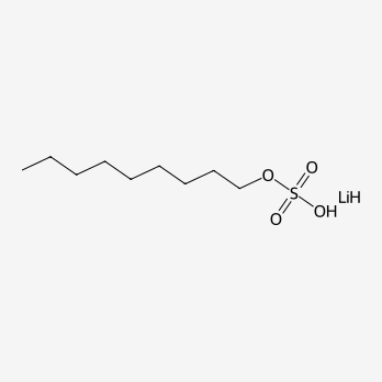 CCCCCCCCCOS(=O)(=O)O.[LiH]